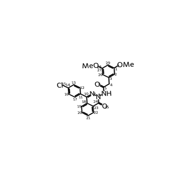 COc1cc(CC(=O)Nn2nc(-c3ccc(Cl)cc3)c3ccccc3c2=O)cc(OC)c1